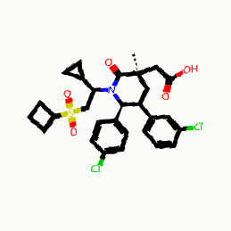 C[C@]1(CC(=O)O)CC(c2cccc(Cl)c2)[C@@H](c2ccc(Cl)cc2)N(C(CS(=O)(=O)C2CCC2)C2CC2)C1=O